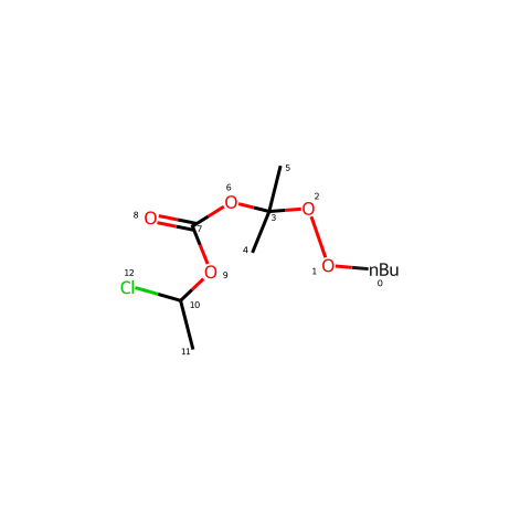 CCCCOOC(C)(C)OC(=O)OC(C)Cl